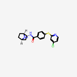 O=C(N[C@@H]1C[C@H]2CC[C@@H]1N2)c1ccc(Sc2cc(Cl)ccn2)cc1